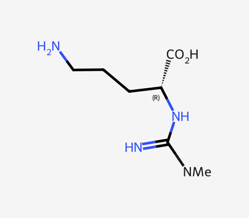 CNC(=N)N[C@H](CCCN)C(=O)O